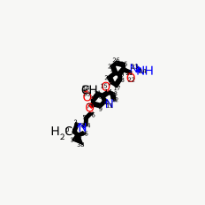 C=C1CN(CCCOc2cc3nccc(Oc4ccc5c(C(=O)N=N)cccc5c4)c3cc2OC)CC12CC2